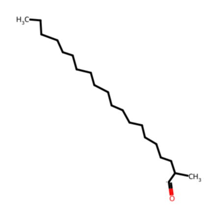 CCCCCCCCCCCCCCCCCCC(C)[C]=O